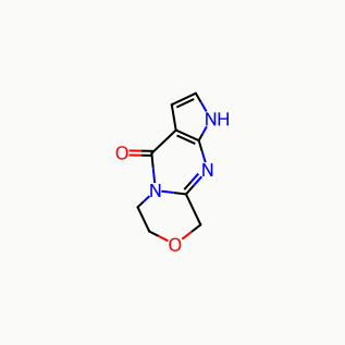 O=c1c2cc[nH]c2nc2n1CCOC2